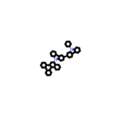 c1ccc(-n2c3ccccc3c3ccc(-c4ccc5c(c4)c4ccccc4n5-c4cc5c6ccccc6c6ccccc6c5c5ccccc45)cc32)cc1